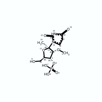 CO[C@@H]1[C@H](OP(=O)(O)O)[C@@H](CO)O[C@@]1(C)n1ccc(=O)[nH]c1=O